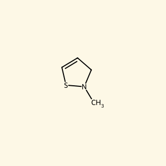 CN1CC=CS1